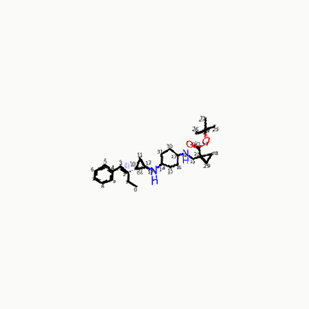 CC/C(=C\c1ccccc1)[C@@H]1CC1NC1CCC(NCC2(C(=O)OC(C)(C)C)CC2)CC1